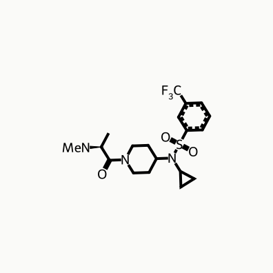 CN[C@@H](C)C(=O)N1CCC(N(C2CC2)S(=O)(=O)c2cccc(C(F)(F)F)c2)CC1